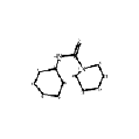 C=C(NC1CCCCC1)N1CCCCC1